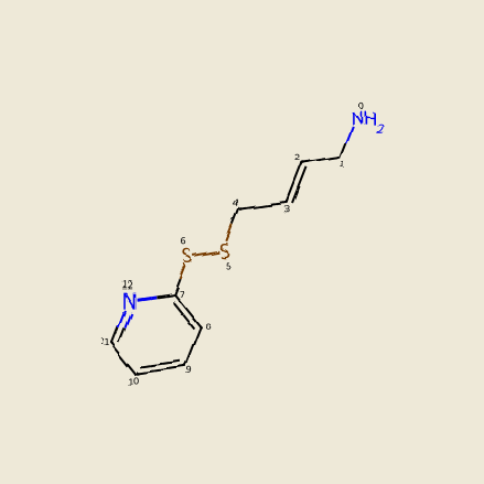 NCC=CCSSc1ccccn1